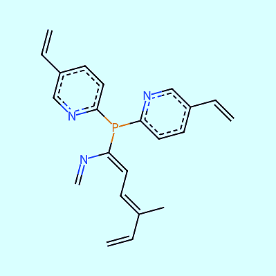 C=C/C(C)=C/C=C(\N=C)P(c1ccc(C=C)cn1)c1ccc(C=C)cn1